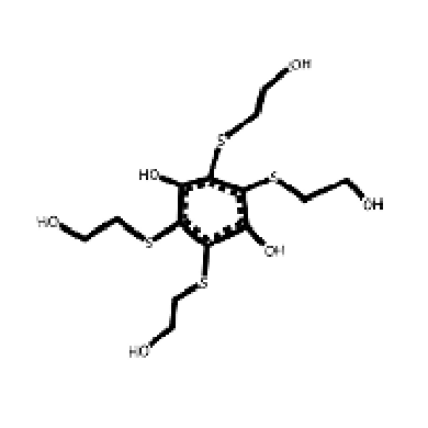 OCCSc1c(O)c(SCCO)c(SCCO)c(O)c1SCCO